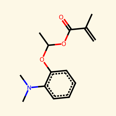 C=C(C)C(=O)OC(C)Oc1ccccc1N(C)C